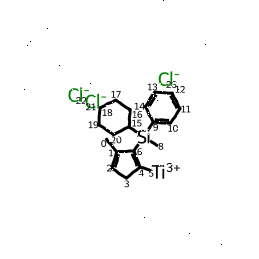 CC1=CC[C]([Ti+3])=C1[Si](C)(c1ccccc1)C1CCCCC1.[Cl-].[Cl-].[Cl-]